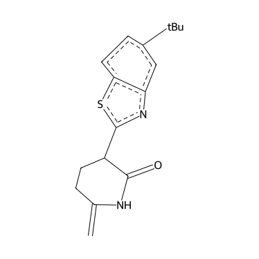 C=C1CCC(c2nc3cc(C(C)(C)C)ccc3s2)C(=O)N1